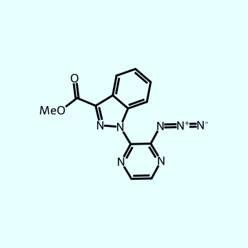 COC(=O)c1nn(-c2nccnc2N=[N+]=[N-])c2ccccc12